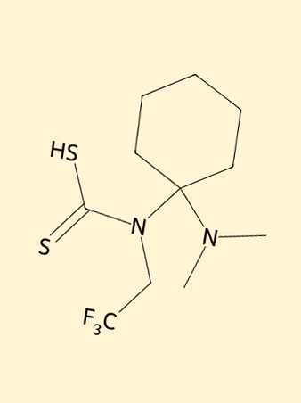 CN(C)C1(N(CC(F)(F)F)C(=S)S)CCCCC1